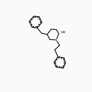 Br.c1ccc(CCN2CCCC(Cc3ccccc3)C2)cc1